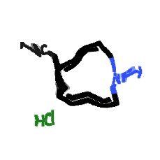 Cl.N#Cc1cc[nH]c1